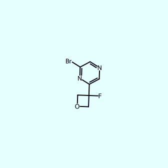 FC1(c2cncc(Br)n2)COC1